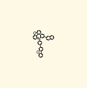 c1cc(-c2ccc3ccccc3c2)cc(N(c2ccc(-c3ccc4c(c3)oc3ccccc34)cc2)c2cccc3oc4ccccc4c23)c1